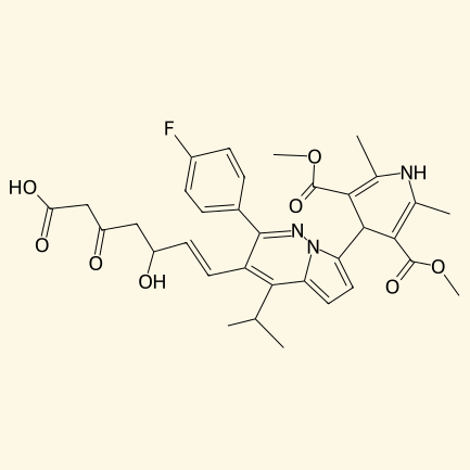 COC(=O)C1=C(C)NC(C)=C(C(=O)OC)C1c1ccc2c(C(C)C)c(C=CC(O)CC(=O)CC(=O)O)c(-c3ccc(F)cc3)nn12